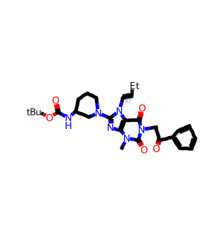 CC/C=C/n1c(N2CCCC(NC(=O)OC(C)(C)C)C2)nc2c1c(=O)n(CC(=O)c1ccccc1)c(=O)n2C